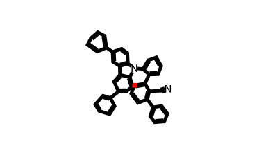 N#Cc1c(-c2ccccc2)cccc1-c1ccccc1-n1c2ccc(-c3ccccc3)cc2c2cc(-c3ccccc3)ccc21